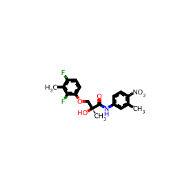 Cc1cc(NC(=O)[C@@](C)(O)COc2ccc(F)c(C)c2F)ccc1[N+](=O)[O-]